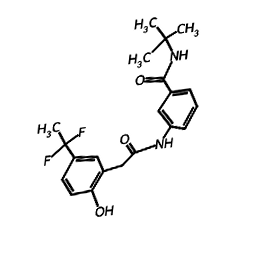 CC(C)(C)NC(=O)c1cccc(NC(=O)Cc2cc(C(C)(F)F)ccc2O)c1